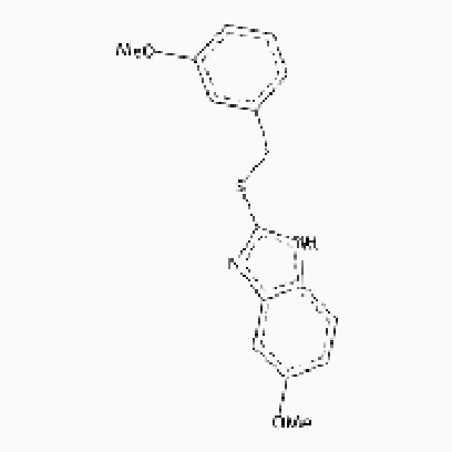 COc1cccc(CSc2nc3cc(OC)ccc3[nH]2)c1